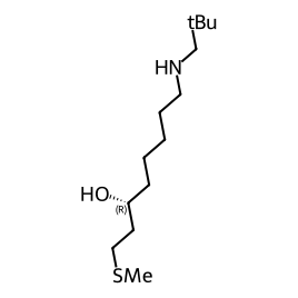 [CH2]SCC[C@H](O)CCCCCNCC(C)(C)C